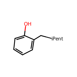 CCCC(C)Cc1ccccc1O